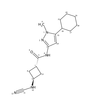 Cn1nc(NC(=O)[C@H]2C[C@H](NC#N)C2)cc1C1CCCCC1